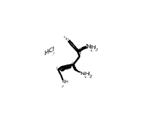 CCC/C=C(\N)C(N)=O.Cl